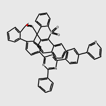 O=S1(=O)c2ccccc2C2(c3ccccc3-c3ccccc3-c3ccc(-c4nc(-c5ccccc5)nc(-c5ccc(-c6cccnc6)cc5)n4)cc32)c2ccc3ccccc3c21